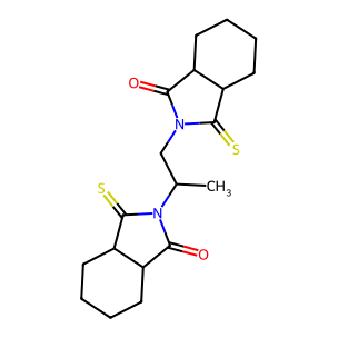 CC(CN1C(=O)C2CCCCC2C1=S)N1C(=O)C2CCCCC2C1=S